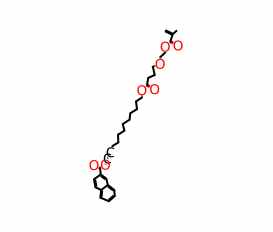 C=C(C)C(=O)OCCOCCCC(=O)OCCCCCCCCCCCCOC(=O)c1ccc2ccccc2c1